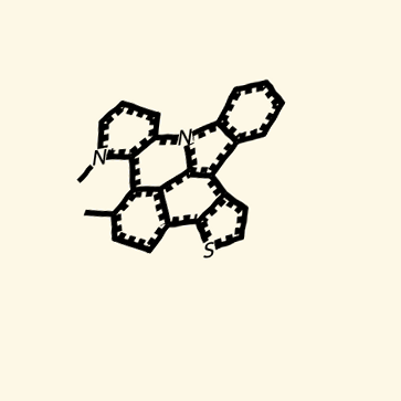 Cc1ccc2c3sccc3c3c4ccccc4n4c5ccc[n+](C)c5c1c2c34